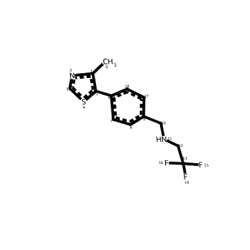 Cc1ncsc1-c1ccc(CNCC(F)(F)F)cc1